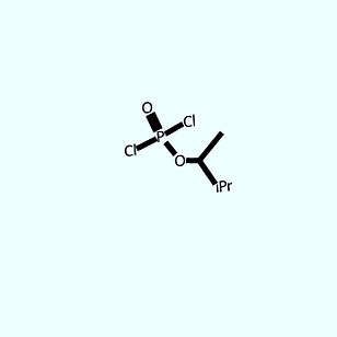 CC(C)C(C)OP(=O)(Cl)Cl